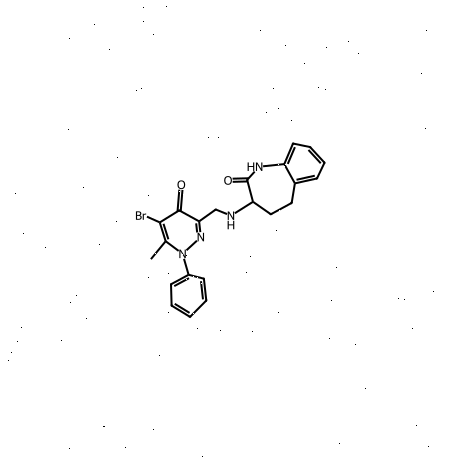 Cc1c(Br)c(=O)c(CNC2CCc3ccccc3NC2=O)nn1-c1ccccc1